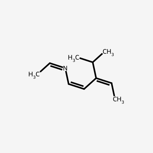 C\C=N/C=C\C(=C/C)C(C)C